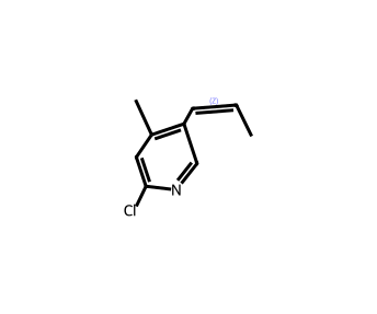 C/C=C\c1cnc(Cl)cc1C